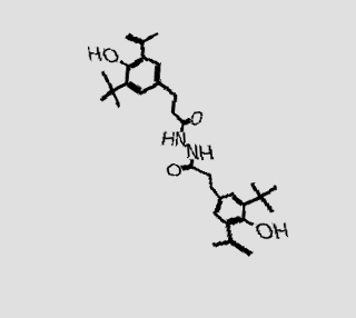 C=C(C)c1cc(CCC(=O)NNC(=O)CCc2cc(C(=C)C)c(O)c(C(C)(C)C)c2)cc(C(C)(C)C)c1O